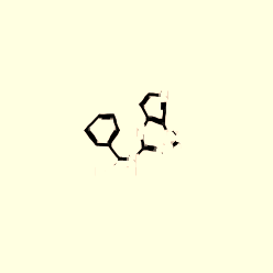 C[C@H](NC1=NS(=O)(=O)c2cnccc2N1)c1ccccc1